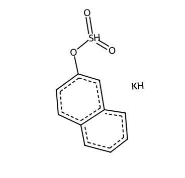 O=[SH](=O)Oc1ccc2ccccc2c1.[KH]